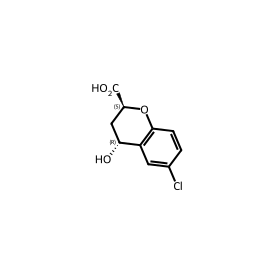 O=C(O)[C@@H]1C[C@@H](O)c2cc(Cl)ccc2O1